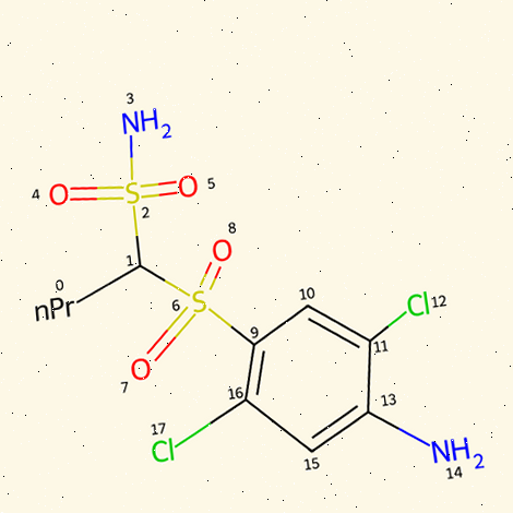 CCCC(S(N)(=O)=O)S(=O)(=O)c1cc(Cl)c(N)cc1Cl